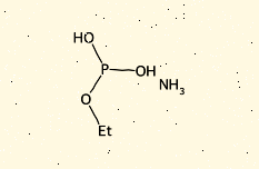 CCOP(O)O.N